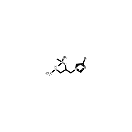 CC(C)(C)[Si](C)(C)OC(CNC(=O)O)Cn1cnc(Br)c1